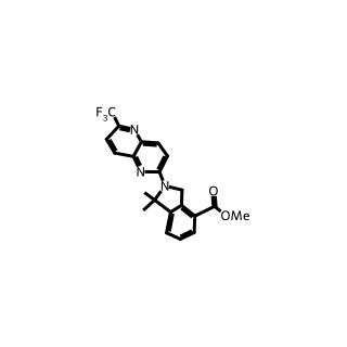 COC(=O)c1cccc2c1CN(c1ccc3nc(C(F)(F)F)ccc3n1)C2(C)C